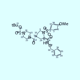 COc1ccc(S(=O)(=O)N2CC[C@@H](C(=O)N3CCN(C(=O)OC(C)(C)C)CC3)C[C@@H]2C(=O)NOCc2ccccc2)cc1